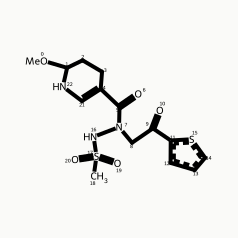 COC1CCC(C(=O)N(CC(=O)c2cccs2)NS(C)(=O)=O)=CN1